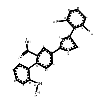 O=C(O)c1cc(-c2nc(-c3c(F)cccc3F)cs2)ccc1-c1ccccc1NO